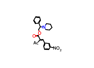 CC(=O)/C(=C\c1cccc([N+](=O)[O-])c1)C(=O)OCC(c1ccccc1)N1CCCCC1